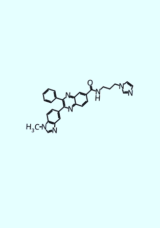 Cn1cnc2cc(-c3nc4ccc(C(=O)NCCCn5ccnc5)cc4nc3-c3ccccc3)ccc21